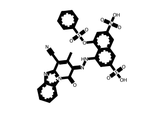 CC1=C(C#N)c2nc3ccccc3n2C(=O)/C1=N/Nc1cc(S(=O)(=O)O)cc2cc(S(=O)(=O)O)cc(OS(=O)(=O)c3ccccc3)c12